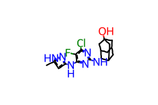 Cc1cc(Nc2nc(NC3C4CC5CC3CC(O)(C5)C4)nc(Cl)c2F)n[nH]1